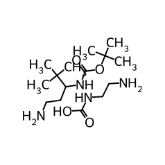 CC(C)(C)OC(=O)NC(CCN)C(C)(C)C.NCCNC(=O)O